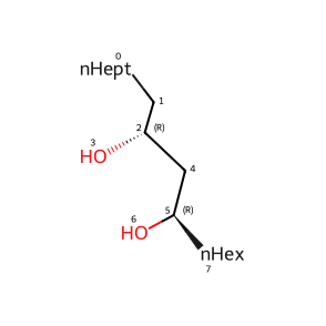 CCCCCCCC[C@@H](O)C[C@H](O)CCCCCC